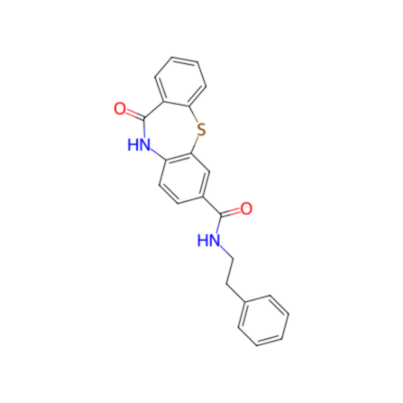 O=C(NCCc1ccccc1)c1ccc2c(c1)Sc1ccccc1C(=O)N2